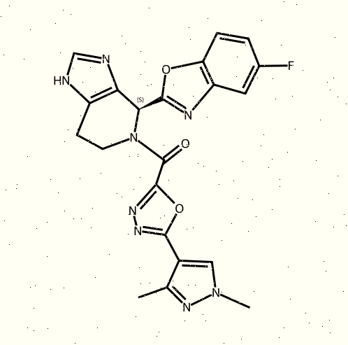 Cc1nn(C)cc1-c1nnc(C(=O)N2CCc3[nH]cnc3[C@H]2c2nc3cc(F)ccc3o2)o1